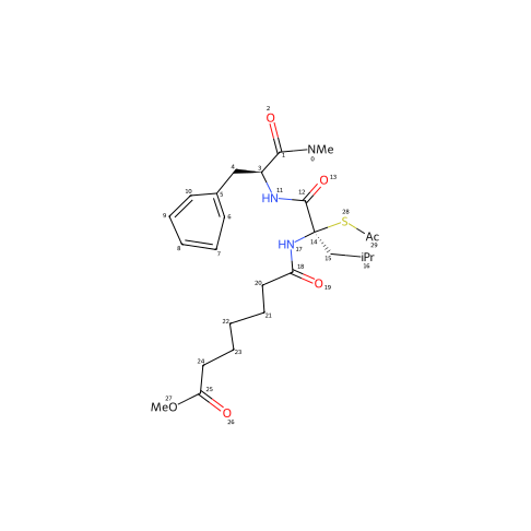 CNC(=O)[C@H](Cc1ccccc1)NC(=O)[C@](CC(C)C)(NC(=O)CCCCCC(=O)OC)SC(C)=O